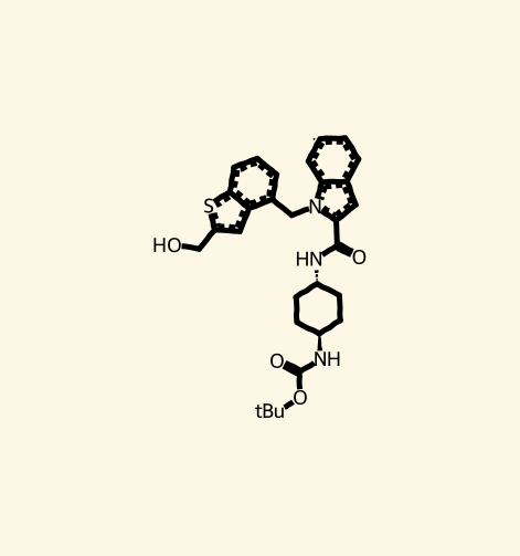 CC(C)(C)OC(=O)N[C@H]1CC[C@H](NC(=O)c2cc3cc[c]cc3n2Cc2cccc3sc(CO)cc23)CC1